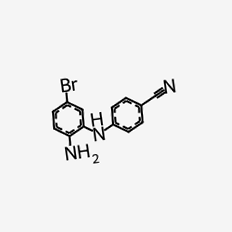 N#Cc1ccc(Nc2cc(Br)ccc2N)cc1